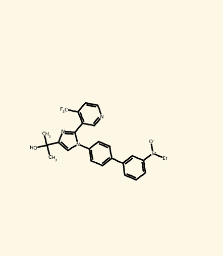 CC[S+]([O-])c1cccc(-c2ccc(-n3cc(C(C)(C)O)nc3-c3cnccc3C(F)(F)F)cc2)c1